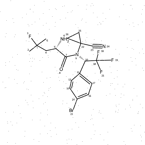 CC(C)(F)C[C@H](N)C(=O)N([C@@H](c1ccc(Br)cc1)C(F)(F)F)C1(C#N)CC1